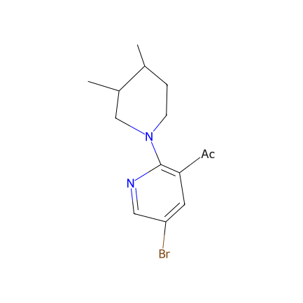 CC(=O)c1cc(Br)cnc1N1CCC(C)C(C)C1